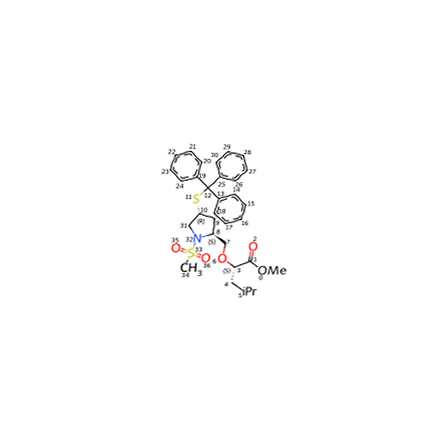 COC(=O)[C@H](CC(C)C)OC[C@@H]1C[C@@H](SC(c2ccccc2)(c2ccccc2)c2ccccc2)CN1S(C)(=O)=O